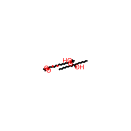 CC(C)(C)C(=O)O.CCCCCCCCCCC(CO)CCCCCCCC.CCCCCCCCCCCCCC(=O)OC(C)C